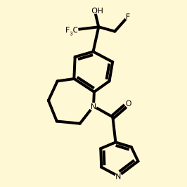 O=C(c1ccncc1)N1CCCCc2cc(C(O)(CF)C(F)(F)F)ccc21